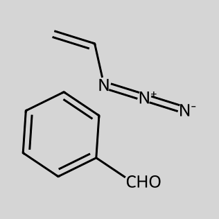 C=CN=[N+]=[N-].O=Cc1ccccc1